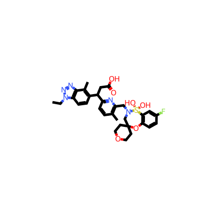 CCn1nnc2c(C)c(C(CC(=O)O)c3ccc(C)c(CN4CC5(CCOCC5)Oc5ccc(F)cc5S4(O)O)n3)ccc21